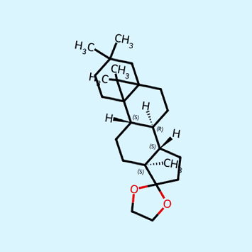 CC1(C)CCC23[C@H]4CC[C@@]5(C)[C@@H](CCC56OCCO6)[C@@H]4CCC2(C1)C3(C)C